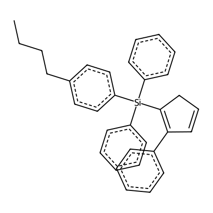 CCCCc1ccc([Si](C2=C(c3ccccc3)C=CC2)(c2ccccc2)c2ccccc2)cc1